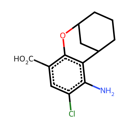 Nc1c(Cl)cc(C(=O)O)c2c1C1CCCC(C1)O2